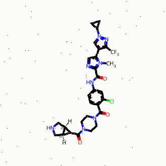 Cn1c(-c2cn(C3CC3)nc2C(F)(F)F)cnc1C(=O)Nc1ccc(C(=O)N2CCN(C(=O)C3[C@H]4CNC[C@@H]34)CC2)c(Cl)c1